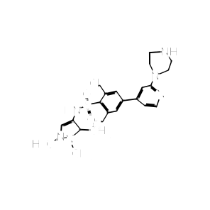 CC1C(NS(=O)(=O)c2c(Cl)cc(-c3ccnc(N4CCNCC4)c3)cc2Cl)=CN(C)N1C